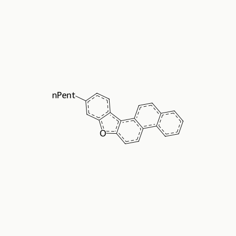 CCCCCc1ccc2c(c1)oc1ccc3c4ccccc4ccc3c12